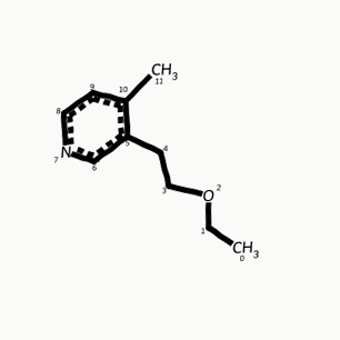 CCOCCc1[c]nccc1C